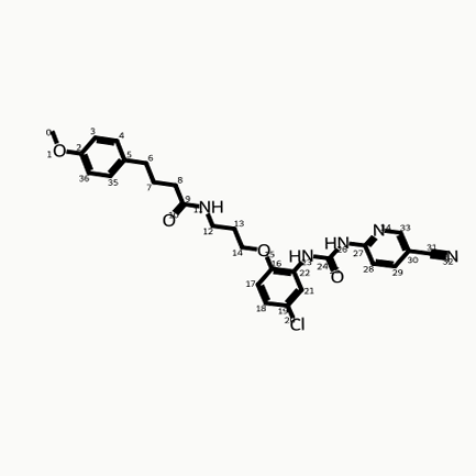 COc1ccc(CCCC(=O)NCCCOc2ccc(Cl)cc2NC(=O)Nc2ccc(C#N)cn2)cc1